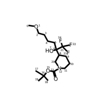 COCCCCC(O)(C1CCCN(C(=O)OC(C)(C)C)C1)C(F)(F)F